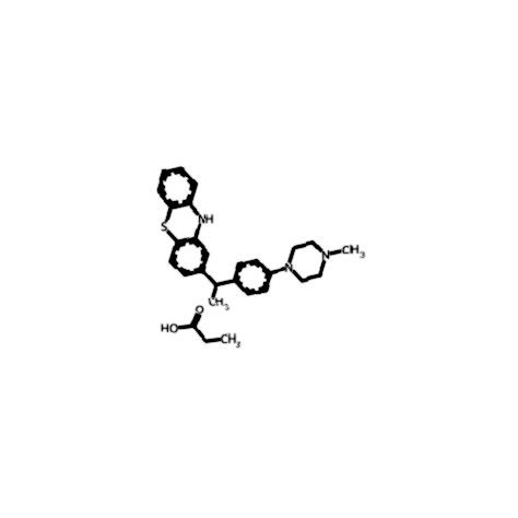 CC(c1ccc(N2CCN(C)CC2)cc1)c1ccc2c(c1)Nc1ccccc1S2.CCC(=O)O